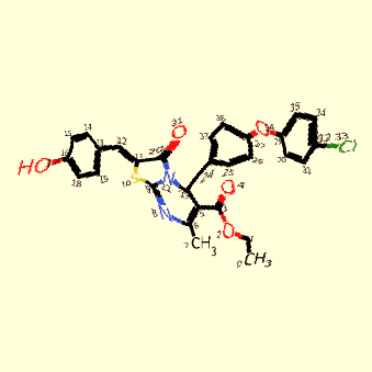 CCOC(=O)C1=C(C)N=c2s/c(=C\c3ccc(O)cc3)c(=O)n2C1c1ccc(Oc2ccc(Cl)cc2)cc1